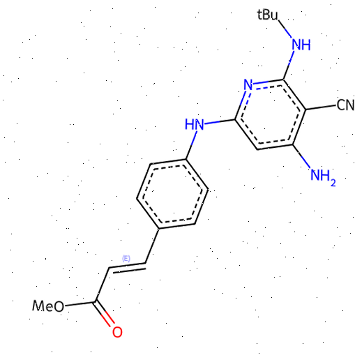 COC(=O)/C=C/c1ccc(Nc2cc(N)c(C#N)c(NC(C)(C)C)n2)cc1